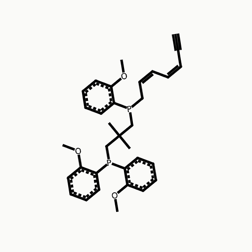 C#C/C=C\C=C/CP(CC(C)(C)CP(c1ccccc1OC)c1ccccc1OC)c1ccccc1OC